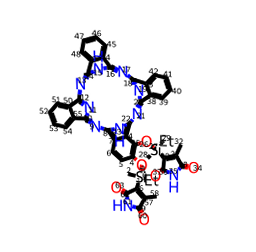 CC[Si](C)(Oc1ccc2c3nc4nc(nc5[nH]c(nc6nc(nc([nH]3)c2c1O[Si](C)(CC)C1=C(C)C(=O)NC1=O)-c1ccccc1-6)c1ccccc51)-c1ccccc1-4)C1=C(C)C(=O)NC1=O